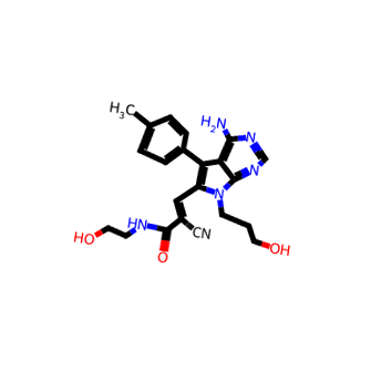 Cc1ccc(-c2c(/C=C(\C#N)C(=O)NCCO)n(CCCO)c3ncnc(N)c23)cc1